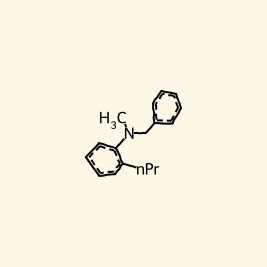 CCCc1ccccc1N(C)Cc1ccccc1